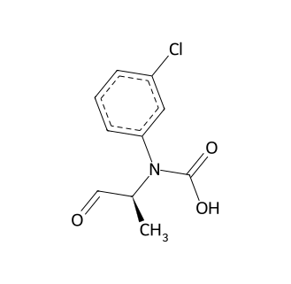 C[C@@H](C=O)N(C(=O)O)c1cccc(Cl)c1